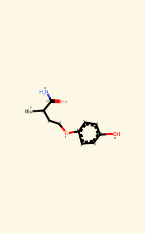 CC(C)(C)C(CCOc1ccc(O)cc1)C(N)=O